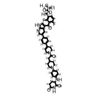 CCN(C)S(=O)(=O)Nc1ccc(F)c(C(=O)c2c[nH]c3ncc(-c4ccc(C5=CCN(C(=O)CC6CCN(c7ccc(NC8CCC(=O)NC8=O)cc7)CC6)CC5)cc4)cc23)c1F